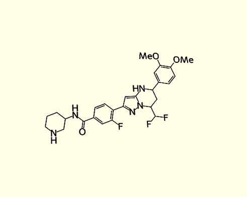 COc1ccc(C2CC(C(F)F)n3nc(-c4ccc(C(=O)NC5CCCNC5)cc4F)cc3N2)cc1OC